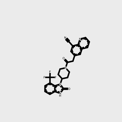 N#Cc1cc(CC(=O)N2CCC(n3c(=O)[nH]c4cccc(C(F)(F)F)c43)CC2)cc2cccnc12